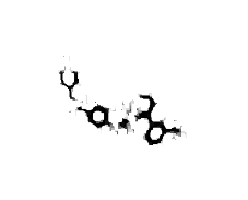 O=C(NCC1CCNCC1)c1ccc(Nc2nc3c(-c4cccc(C(F)(F)F)c4)cccn3n2)cc1